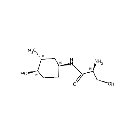 C[C@@H]1C[C@@H](NC(=O)[C@@H](N)CO)CC[C@H]1O